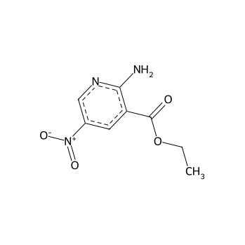 CCOC(=O)c1cc([N+](=O)[O-])cnc1N